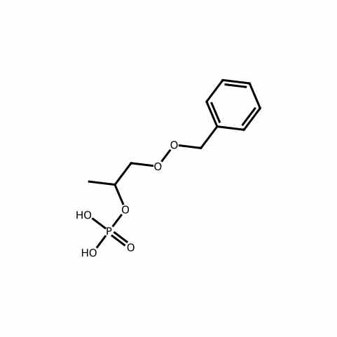 CC(COOCc1ccccc1)OP(=O)(O)O